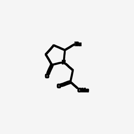 CCC(C)C1CCC(=O)N1CC(=O)OC